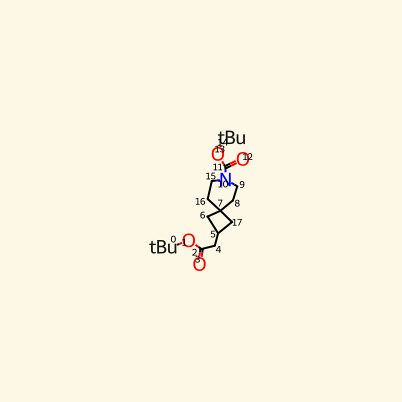 CC(C)(C)OC(=O)CC1CC2(CCN(C(=O)OC(C)(C)C)CC2)C1